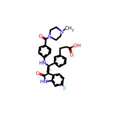 CN1CCN(C(=O)c2ccc(N/C(=C3\C(=O)Nc4cc(F)ccc43)c3cccc(CCC(=O)O)c3)cc2)CC1